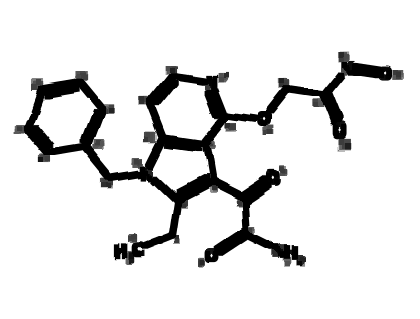 CCc1c(C(=O)C(N)=O)c2c(OCC(=O)N=O)nccc2n1Cc1ccccc1